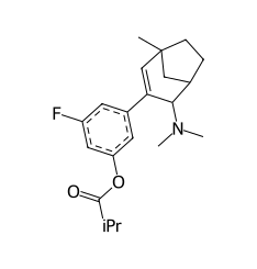 CC(C)C(=O)Oc1cc(F)cc(C2=CC3(C)CCC(C3)C2N(C)C)c1